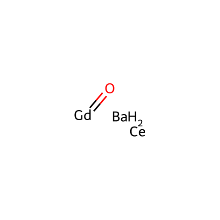 [BaH2].[Ce].[O]=[Gd]